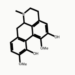 COc1ccc2c(c1O)-c1c(OC)c(O)cc3c1C(C2)N(C)CC3